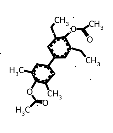 CCc1cc(-c2cc(C)c(OC(C)=O)c(C)c2)cc(CC)c1OC(C)=O